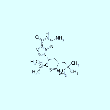 CC(=S)C(CC(O[SiH](C)C)n1cnc2c(=O)[nH]c(N)nc21)CC(C)(C)C